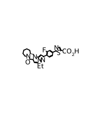 CCc1cc(C(=O)N2CCCCC[C@H]2C)nc2cc(-c3ccc(-c4ncc(C(=O)O)s4)cc3F)nn12